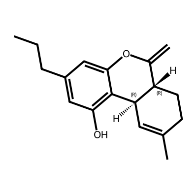 C=C1Oc2cc(CCC)cc(O)c2[C@@H]2C=C(C)CC[C@@H]12